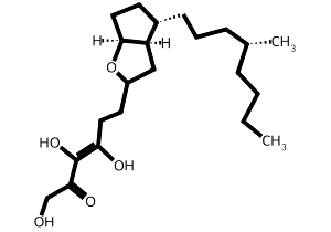 CCCC[C@@H](C)CCC[C@H]1CC[C@@H]2OC(CCC(O)=C(O)C(=O)CO)C[C@H]12